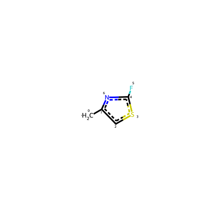 [CH2]c1csc(F)n1